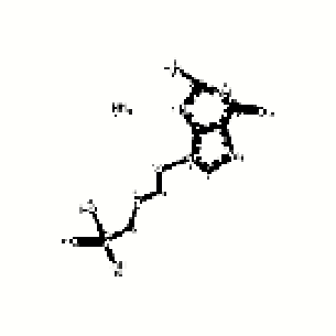 N.Nc1nc2c(ncn2OCOCP(=O)(O)O)c(=O)[nH]1